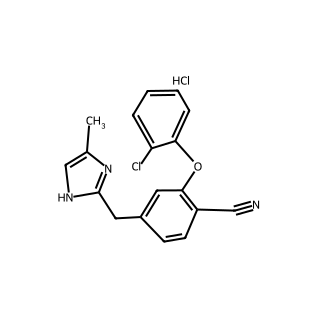 Cc1c[nH]c(Cc2ccc(C#N)c(Oc3ccccc3Cl)c2)n1.Cl